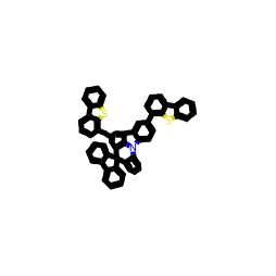 c1ccc2c(c1)-c1ccccc1C21c2ccccc2-n2c3ccc(-c4cccc5c4sc4ccccc45)cc3c3cc(-c4cccc5c4sc4ccccc45)cc1c32